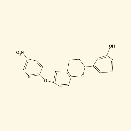 O=[N+]([O-])c1ccc(Oc2ccc3c(c2)CCC(c2cccc(O)c2)O3)nc1